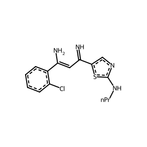 CCCNc1ncc(C(=N)/C=C(\N)c2ccccc2Cl)s1